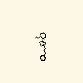 CC(=O)N1CCCC[C@H]1c1nc(CCCc2ccccc2)no1